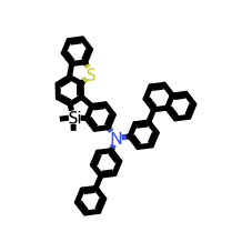 C[Si]1(C)c2cc(N(c3ccc(-c4ccccc4)cc3)c3cccc(-c4cccc5ccccc45)c3)ccc2-c2c1ccc1c2sc2ccccc21